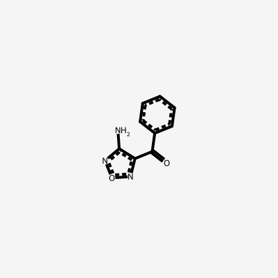 Nc1nonc1C(=O)c1ccccc1